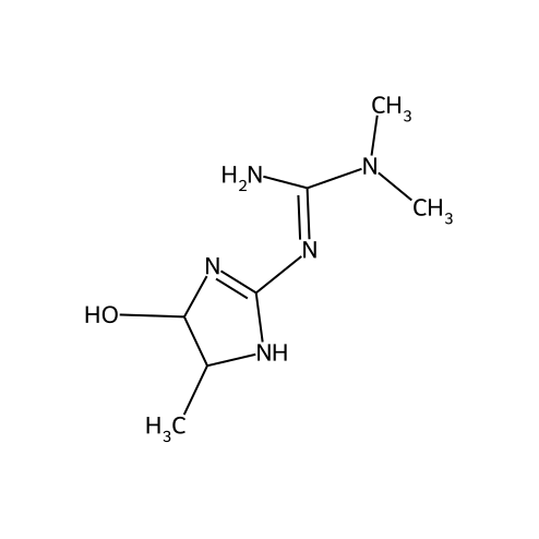 CC1NC(/N=C(\N)N(C)C)=NC1O